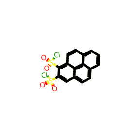 O=S(=O)(Cl)c1cc2ccc3cccc4ccc(c1S(=O)(=O)Cl)c2c34